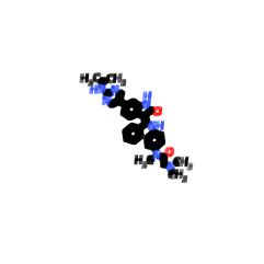 CC(C)Nc1ncc(-c2ccc3c(c2)NC(=O)/C3=C(\Nc2ccc(N(C)C(=O)CN(C)C)cc2)c2ccccc2)cn1